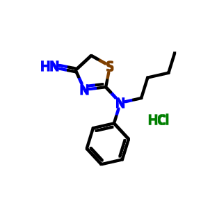 CCCCN(C1=NC(=N)CS1)c1ccccc1.Cl